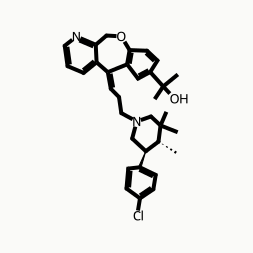 C[C@@H]1[C@@H](c2ccc(Cl)cc2)CN(CC/C=C2\c3cc(C(C)(C)O)ccc3OCc3ncccc32)CC1(C)C